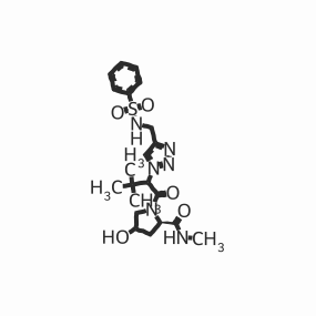 CNC(=O)[C@H]1CC(O)CN1C(=O)C(n1cc(CNS(=O)(=O)c2ccccc2)nn1)C(C)(C)C